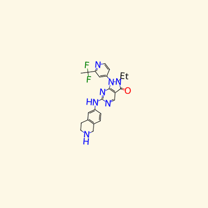 CCn1c(=O)c2cnc(Nc3ccc4c(c3)CCNC4)nc2n1-c1ccnc(C(C)(F)F)c1